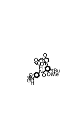 COc1c(C(=O)Nc2ccc(NS(C)(=O)=O)cc2)cc(N2CCC(=O)N(CC3OCCO3)C2=O)cc1C(C)(C)C